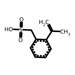 C=C(C)c1ccccc1CS(=O)(=O)O